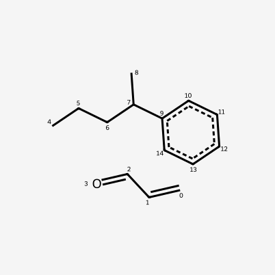 C=CC=O.CCCC(C)c1ccccc1